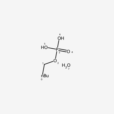 CCCCCOP(=O)(O)O.O